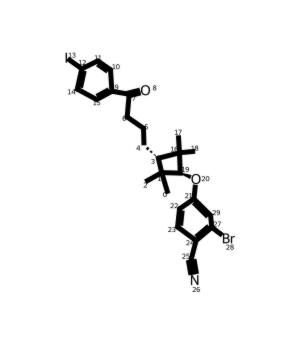 CC1(C)[C@H](CCCC(=O)c2ccc(I)cc2)C(C)(C)[C@H]1Oc1ccc(C#N)c(Br)c1